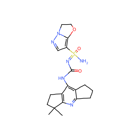 CC1(C)CCc2c1nc1c(c2NC(=O)N=S(N)(=O)c2cnn3c2OCC3)CCC1